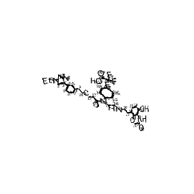 CCn1cc(-c2cccc(CCOCCC(=O)N(CCNCCc3ccc(O)c4c3OCC(=O)N4)C3CCCCC3)c2)nn1.O=C(O)C(F)(F)F